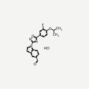 CC(C)Oc1ccc(-c2nc(-n3ccc4cc(C=O)ccc43)no2)cc1F.Cl